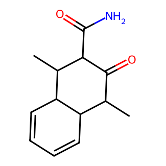 CC1C(=O)C(C(N)=O)C(C)C2C=CC=CC12